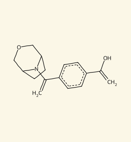 C=C(O)c1ccc(C(=C)N2C3CCC2COC3)cc1